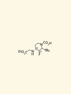 CCOC(=O)CN[C@@H]1CCN(C(=O)O)C(C(C)(C)C)[C@H]1F